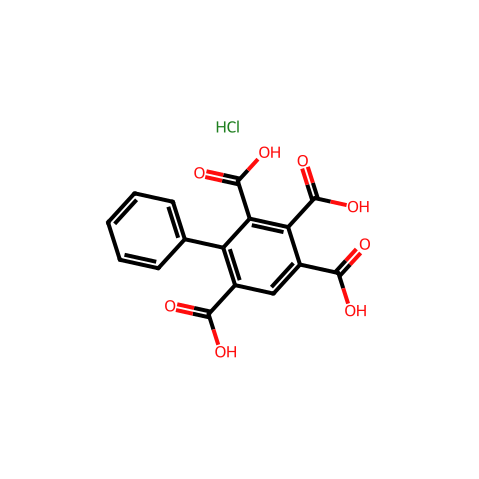 Cl.O=C(O)c1cc(C(=O)O)c(-c2ccccc2)c(C(=O)O)c1C(=O)O